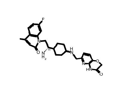 Cc1cc(=O)n(C[C@@H](N)C2CCC(NCc3ccc4c(n3)NC(=O)CO4)CC2)c2cc(F)ccc12